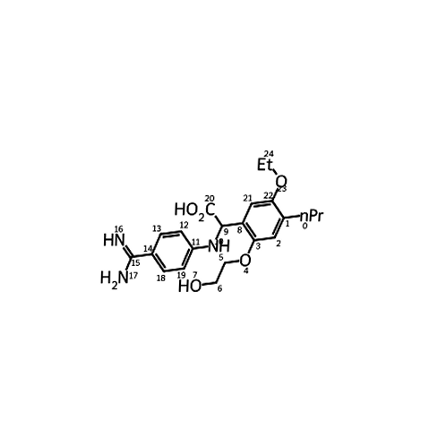 CCCc1cc(OCCO)c(C(Nc2ccc(C(=N)N)cc2)C(=O)O)cc1OCC